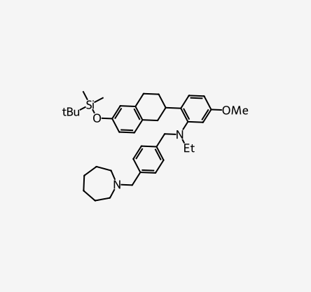 CCN(Cc1ccc(CN2CCCCCC2)cc1)c1cc(OC)ccc1C1CCc2cc(O[Si](C)(C)C(C)(C)C)ccc2C1